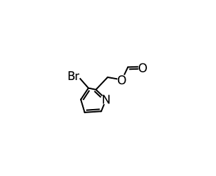 O=COCc1ncccc1Br